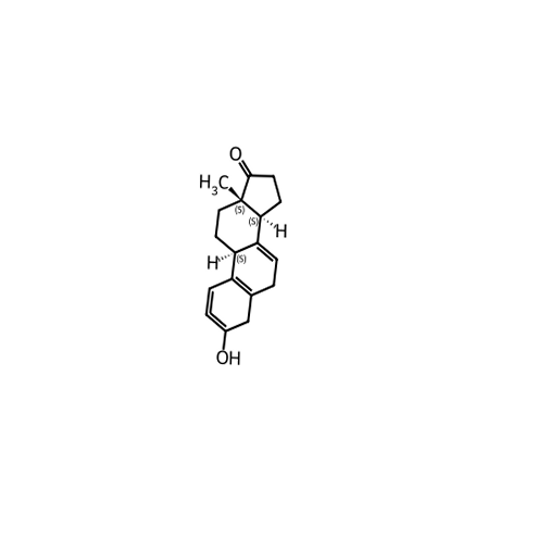 C[C@]12CC[C@H]3C(=CCC4=C3C=C=C(O)C4)[C@@H]1CCC2=O